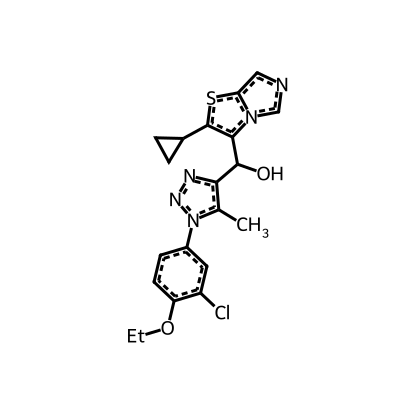 CCOc1ccc(-n2nnc(C(O)c3c(C4CC4)sc4cncn34)c2C)cc1Cl